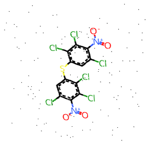 O=[N+]([O-])c1c(Cl)cc(Sc2cc(Cl)c([N+](=O)[O-])c(Cl)c2Cl)c(Cl)c1Cl